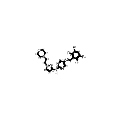 Fc1cc(F)c(F)c(COc2cnc(Nc3ccn(CCN4CCOCC4)n3)nc2)c1F